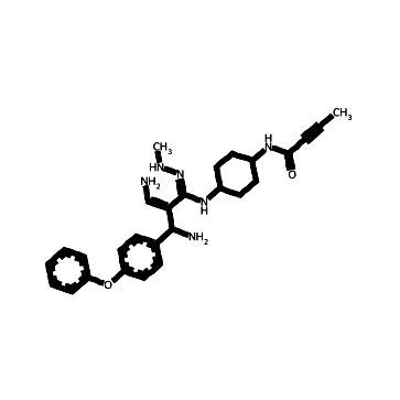 CC#CC(=O)NC1CCC(NC(=NNC)/C(=C\N)C(N)c2ccc(Oc3ccccc3)cc2)CC1